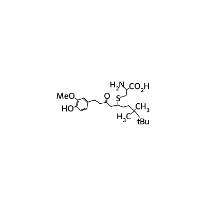 COc1cc(CCC(=O)CC(CCC(C)(C)CC(C)(C)C)SCC(N)C(=O)O)ccc1O